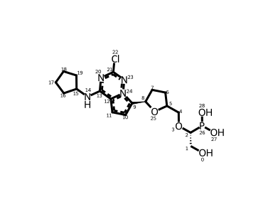 OC[C@H](OCC1CC[C@H](c2ccc3c(NC4CCCC4)nc(Cl)nn23)O1)P(O)O